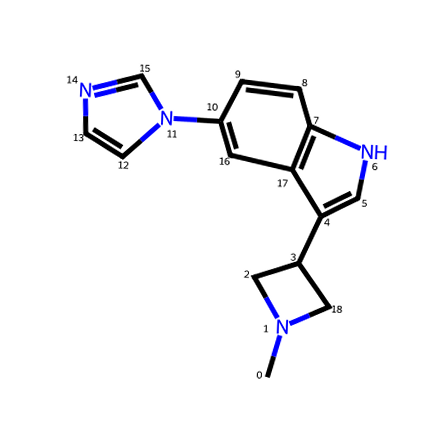 CN1CC(c2c[nH]c3ccc(-n4ccnc4)cc23)C1